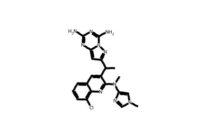 CC(c1cc2nc(N)nc(N)n2n1)c1cc2cccc(Cl)c2nc1N(C)c1cn(C)cn1